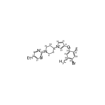 CCc1cnc(N2CCC(n3ccc(Oc4cc(C)c(Br)cc4F)c3)CC2)nc1